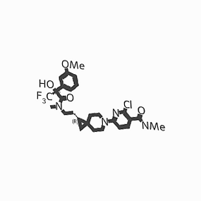 CNC(=O)c1ccc(N2CCC3(CC2)C[C@@H]3CCN(C)C(=O)[C@](O)(c2cccc(OC)c2)C(F)(F)F)nc1Cl